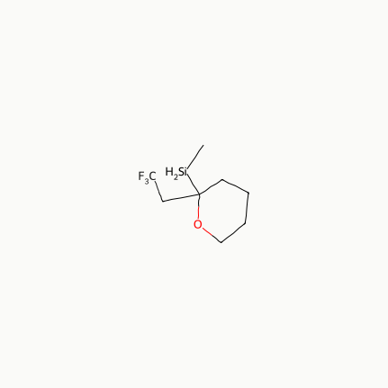 C[SiH2]C1(CC(F)(F)F)CCCCO1